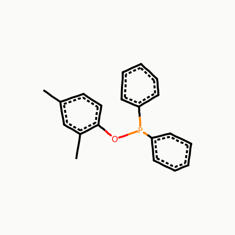 Cc1ccc(OP(c2ccccc2)c2ccccc2)c(C)c1